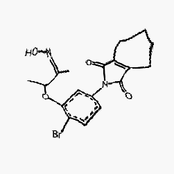 C/C(=N/O)C(C)Oc1cc(N2C(=O)C3=C(CCCC3)C2=O)ccc1Br